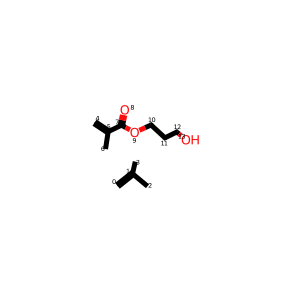 C=C(C)C.C=C(C)C(=O)OCCCO